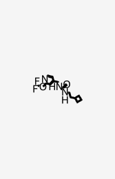 O=C(NCCC1CCC1)NCc1ccnc(OC(F)F)c1